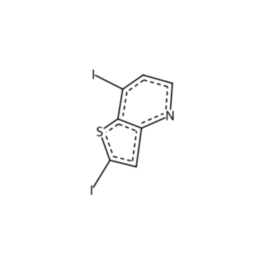 Ic1cc2nccc(I)c2s1